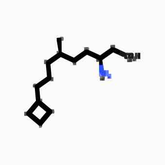 C[C@H](CCCC1CCC1)CC[C@H](N)CC(=O)O